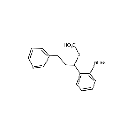 CCCCCCc1ccccc1C(CCc1ccccc1)OC(=O)O